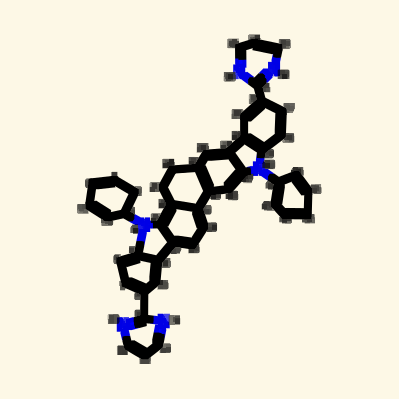 C1=CCC(n2c3ccc(-c4ncccn4)cc3c3ccc4c(c32)CCc2cc3c5cc(-c6ncccn6)ccc5n(-c5ccccc5)c3cc2-4)C=C1